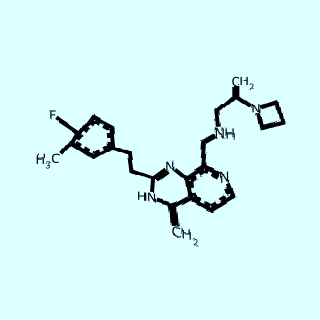 C=C1NC(CCc2ccc(F)c(C)c2)=Nc2c1ccnc2CNCC(=C)N1CCC1